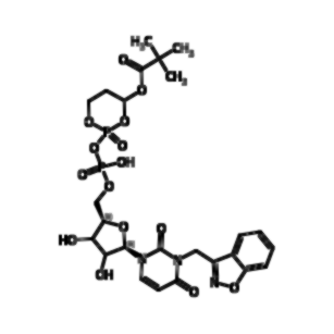 CC(C)(C)C(=O)OC1CCOP(=O)(OP(=O)(O)OC[C@H]2O[C@@H](n3ccc(=O)n(Cc4noc5ccccc45)c3=O)C(O)C2O)O1